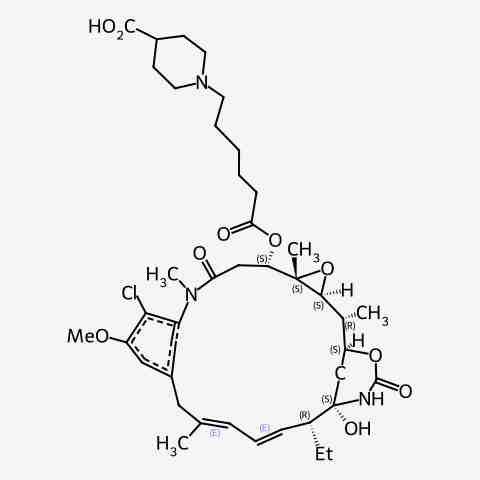 CC[C@@H]1/C=C/C=C(\C)Cc2cc(OC)c(Cl)c(c2)N(C)C(=O)C[C@H](OC(=O)CCCCCN2CCC(C(=O)O)CC2)[C@]2(C)O[C@H]2[C@H](C)[C@@H]2C[C@@]1(O)NC(=O)O2